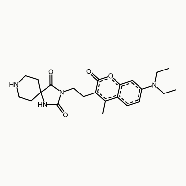 CCN(CC)c1ccc2c(C)c(CCN3C(=O)NC4(CCNCC4)C3=O)c(=O)oc2c1